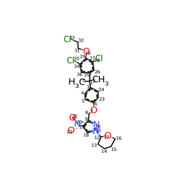 CC(C)(c1ccc(OCc2nn(C3CCCCO3)cc2[N+](=O)[O-])cc1)c1cc(Cl)c(OCCCl)c(Cl)c1